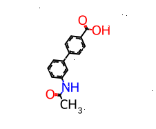 CC(=O)Nc1cccc(-c2ccc(C(=O)O)cc2)c1